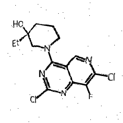 CC[C@@]1(O)CCCN(c2nc(Cl)nc3c(F)c(Cl)ncc23)C1